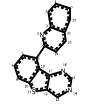 c1ccc2nc(-c3cccc4sc5cncnc5c34)ccc2c1